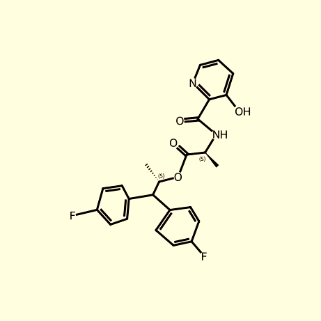 C[C@H](NC(=O)c1ncccc1O)C(=O)O[C@@H](C)C(c1ccc(F)cc1)c1ccc(F)cc1